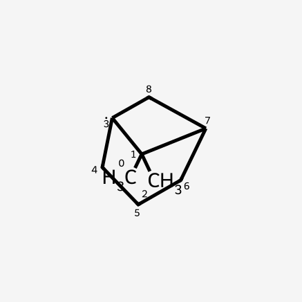 CC1(C)[C]2CCCC1C2